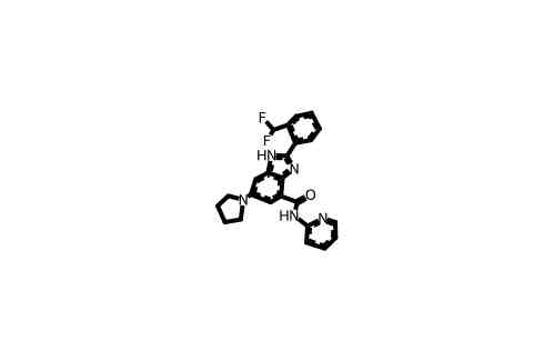 O=C(Nc1ccccn1)c1cc(N2CCCC2)cc2[nH]c(-c3ccccc3C(F)F)nc12